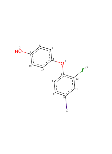 Oc1ccc(Oc2ccc(I)cc2F)cc1